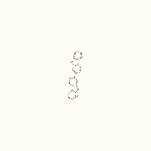 c1cnc2c(c1)oc1nc(-c3cc4oc5ncccc5c4cn3)ccc12